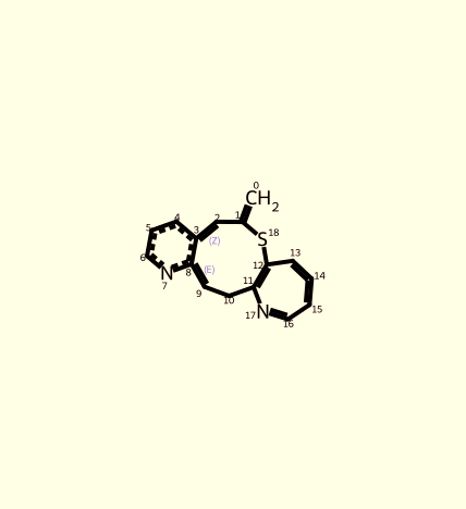 C=C1/C=c2/cccn/c2=C/CC2=C(C=C=CC=N2)S1